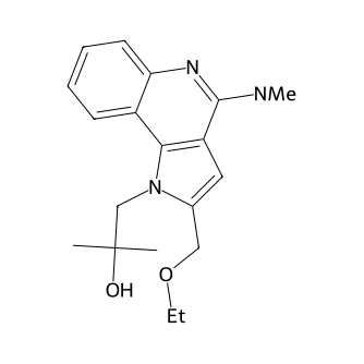 CCOCc1cc2c(NC)nc3ccccc3c2n1CC(C)(C)O